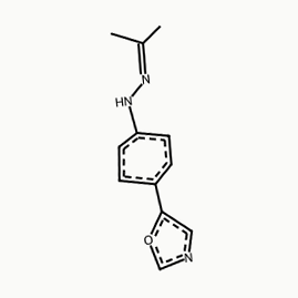 CC(C)=NNc1ccc(-c2cnco2)cc1